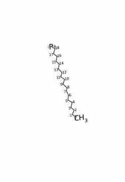 CCCCCCCCCCCCCCCCCCC[P]